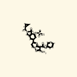 CCS(=O)(=O)Nc1cc(-c2ccn3nc(N)c(C(=O)Nc4cccnc4)c3n2)cc2c1C(=O)N([C@@H](C)C1CC1)C2